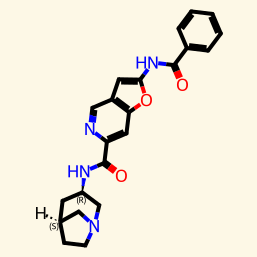 O=C(Nc1cc2cnc(C(=O)N[C@@H]3C[C@@H]4CCN(C4)C3)cc2o1)c1ccccc1